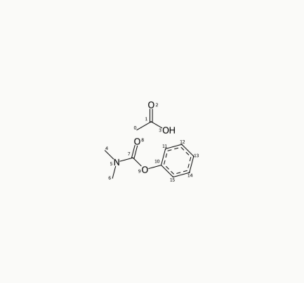 CC(=O)O.CN(C)C(=O)Oc1ccccc1